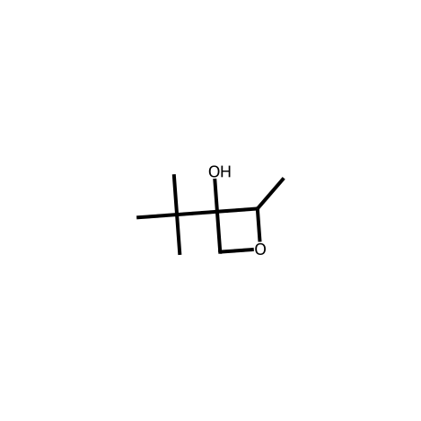 CC1OCC1(O)C(C)(C)C